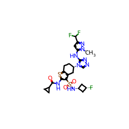 Cn1nc(C(F)F)cc1Nc1nncn1[C@H]1CCc2sc(NC(=O)C3CC3)c(S(=O)(=O)N[C@H]3C[C@@H](F)C3)c2C1